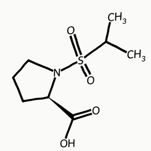 CC(C)S(=O)(=O)N1CCC[C@@H]1C(=O)O